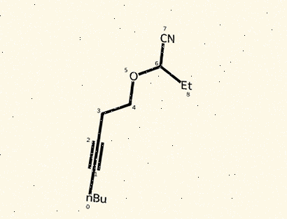 CCCCC#CCCOC(C#N)CC